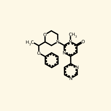 CC(Oc1ccccc1)C1CN(c2nc(-c3ccncn3)cc(=O)n2C)CCO1